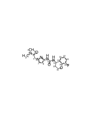 CN(C)C(=O)Cn1ccc(NC(=O)NC2CCOc3c(F)cccc32)n1